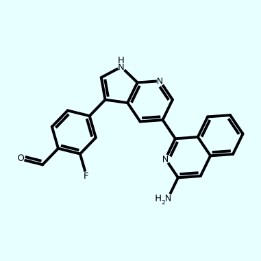 Nc1cc2ccccc2c(-c2cnc3[nH]cc(-c4ccc(C=O)c(F)c4)c3c2)n1